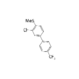 CSc1ccc(-c2ccc(C(F)(F)F)cc2)cc1Cl